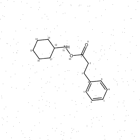 O=C(CCc1ccccc1)ONC1CCCCC1